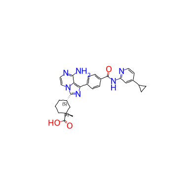 C[C@@]1(C(=O)O)CCC[C@H](c2nc(-c3ccc(C(=O)Nc4cc(C5CC5)ccn4)cc3)c3c(N)nccn23)C1